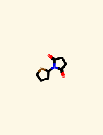 O=C1CCC(=O)N1C1CCCS1